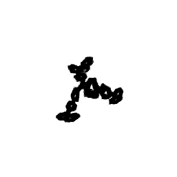 c1ccc2c(-c3ccc(-c4ccc(C(c5ccc(-c6ccc(-c7cccc8ccccc78)cc6)cc5)c5ccc(-c6cccc7c6oc6ccccc67)cc5)cc4)cc3)cccc2c1